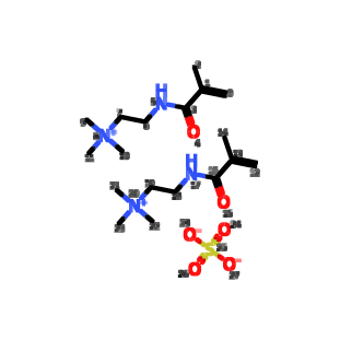 C=C(C)C(=O)NCC[N+](C)(C)C.C=C(C)C(=O)NCC[N+](C)(C)C.O=S(=O)([O-])[O-]